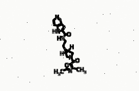 Cc1nc(C)c(C(=O)N2C[C@@H]3C(CCNC(=O)c4cc5cnccc5[nH]4)[C@@H]3C2)o1